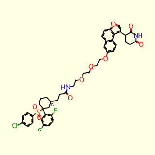 O=C(CC[C@@H]1CCC[C@@](c2cc(F)ccc2F)(S(=O)(=O)c2ccc(Cl)cc2)C1)NCCOCCOCCOc1ccc2c(ccc3occ(C4CCC(=O)NC4=O)c32)c1